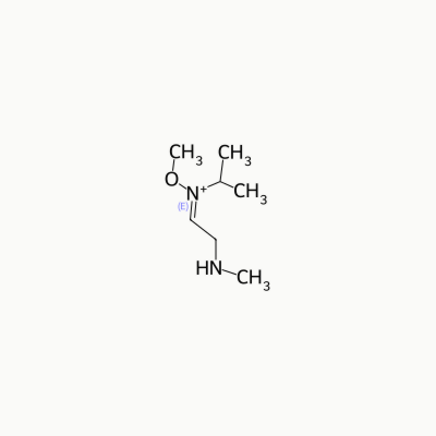 CNC/C=[N+](/OC)C(C)C